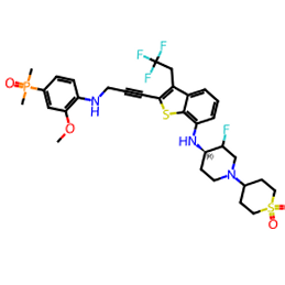 COc1cc(P(C)(C)=O)ccc1NCC#Cc1sc2c(N[C@@H]3CCN(C4CCS(=O)(=O)CC4)CC3F)cccc2c1CC(F)(F)F